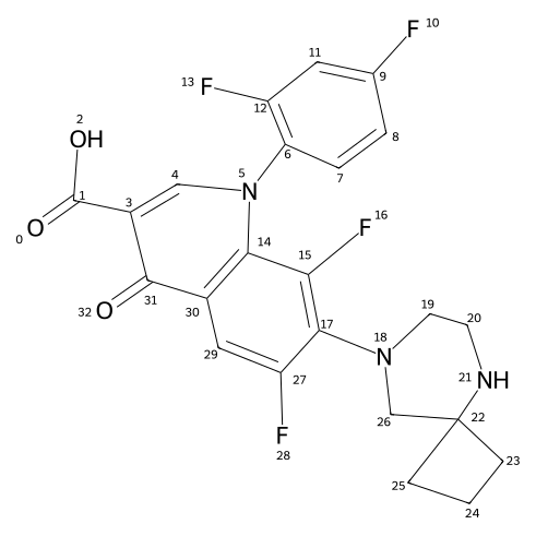 O=C(O)c1cn(-c2ccc(F)cc2F)c2c(F)c(N3CCNC4(CCC4)C3)c(F)cc2c1=O